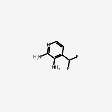 Nc1nccc(C(F)F)c1N